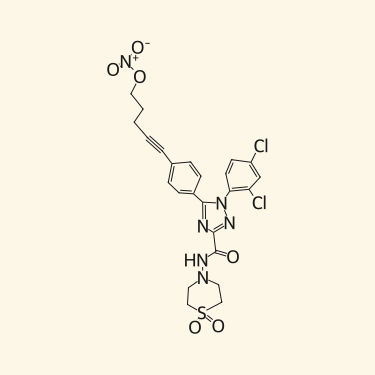 O=C(NN1CCS(=O)(=O)CC1)c1nc(-c2ccc(C#CCCCO[N+](=O)[O-])cc2)n(-c2ccc(Cl)cc2Cl)n1